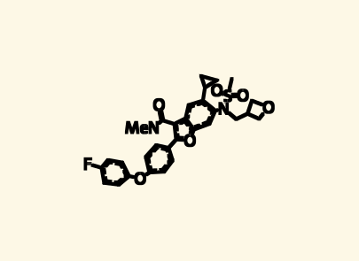 CNC(=O)c1c(-c2ccc(Oc3ccc(F)cc3)cc2)oc2cc(N(CC3COC3)S(C)(=O)=O)c(C3CC3)cc12